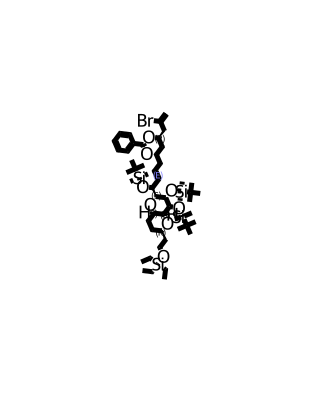 C=C(Br)C[C@@H](CCC/C=C/C(O[Si](C)(C)C(C)(C)C)[C@@H]1O[C@H]2CC[C@H](CCO[Si](CC)(CC)CC)O[C@@H]2C(O[Si](C)(C)C(C)(C)C)C1O[Si](C)(C)C(C)(C)C)OC(=O)c1ccccc1